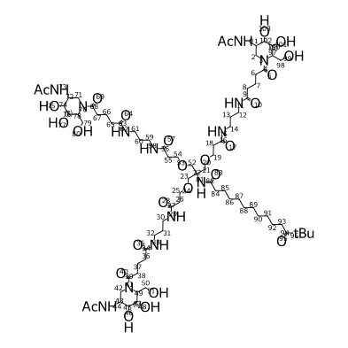 CC(=O)NC1CN(C(=O)CCCC(=O)NCCCNC(=O)CCOCC(COCCC(=O)NCCCNC(=O)CCCC(=O)N2CC(NC(C)=O)C(O)[C@@H](O)C2CO)(COCCC(=O)NCCCNC(=O)CCCC(=O)N2CC(NC(C)=O)C(O)[C@@H](O)C2CO)NC(=O)CCCCCCCCCCC(=O)C(C)(C)C)C(CO)[C@H](O)C1O